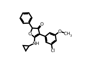 COc1cc(Cl)cc(C2=C(NC3CC3)OC(c3ccccc3)C2=O)c1